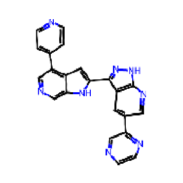 c1cc(-c2cncc3[nH]c(-c4n[nH]c5ncc(-c6cnccn6)cc45)cc23)ccn1